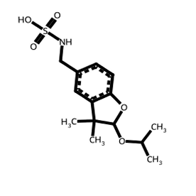 CC(C)OC1Oc2ccc(CNS(=O)(=O)O)cc2C1(C)C